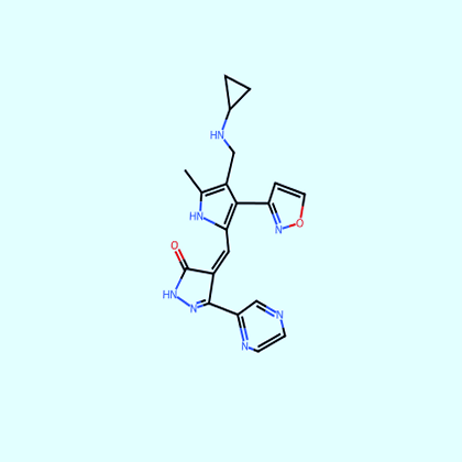 Cc1[nH]c(C=C2C(=O)NN=C2c2cnccn2)c(-c2ccon2)c1CNC1CC1